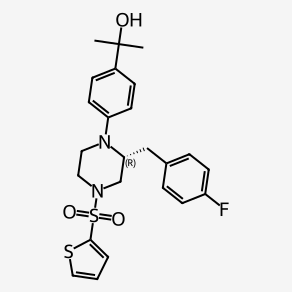 CC(C)(O)c1ccc(N2CCN(S(=O)(=O)c3cccs3)C[C@H]2Cc2ccc(F)cc2)cc1